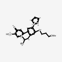 COCCCOc1cc2c(cc1-n1cccn1)-c1cc(=O)c(C(=O)O)cn1C(C(C)(C)C)C2